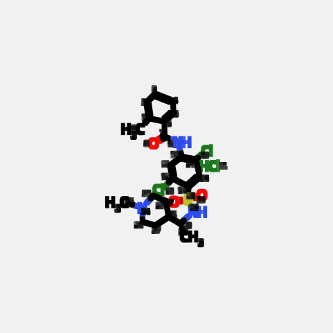 Cc1ccccc1C(=O)Nc1cc(Cl)c(S(=O)(=O)N[C@@H](C)C2CCN(C)CC2)cc1Cl.Cl